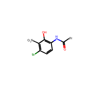 CC(C)C(=O)Nc1ccc(Br)c([N+](=O)[O-])c1O